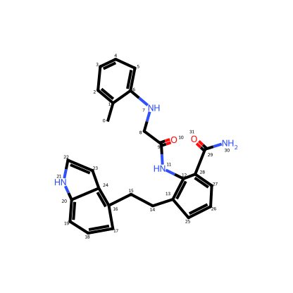 Cc1ccccc1NCC(=O)Nc1c(CCc2cccc3[nH]ccc23)cccc1C(N)=O